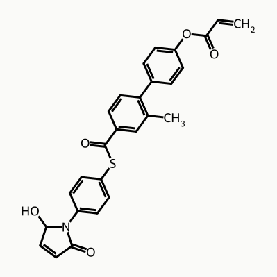 C=CC(=O)Oc1ccc(-c2ccc(C(=O)Sc3ccc(N4C(=O)C=CC4O)cc3)cc2C)cc1